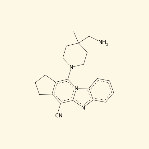 CC1(CN)CCN(c2c3c(c(C#N)c4nc5ccccc5n24)CCC3)CC1